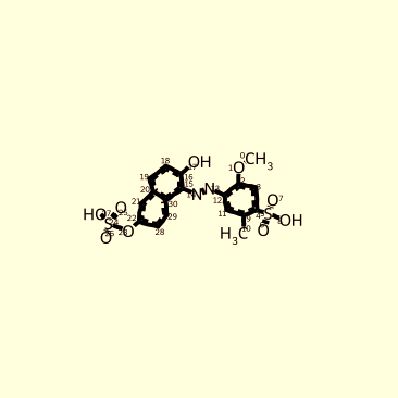 COc1cc(S(=O)(=O)O)c(C)cc1N=Nc1c(O)ccc2cc(OS(=O)(=O)O)ccc12